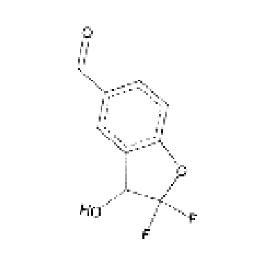 O=Cc1ccc2c(c1)C(O)C(F)(F)O2